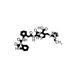 CCn1nnnc1SCC1=C(C(=O)O)N2C(=O)C(NC(=O)Cc3ccccc3NC(=O)n3c(=O)[nH]c4ccccc43)[C@H]2SC1